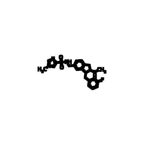 CNC1Cc2ccc(CNS(=O)(=O)c3cn(C)cn3)cc2C1Cc1cccc(F)c1